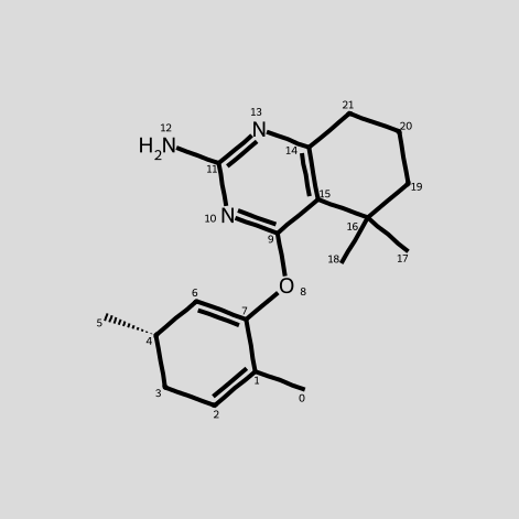 CC1=CC[C@H](C)C=C1Oc1nc(N)nc2c1C(C)(C)CCC2